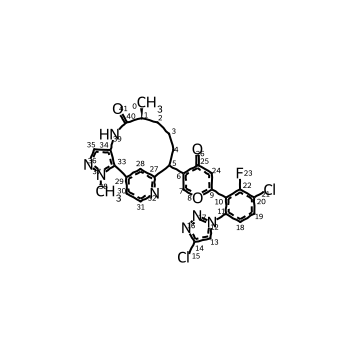 C[C@H]1CCCC(c2coc(-c3c(-n4cc(Cl)nn4)ccc(Cl)c3F)cc2=O)c2cc(ccn2)-c2c(cnn2C)NC1=O